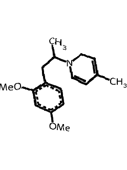 COc1ccc(CC(C)N2C=CC(C)=CC2)c(OC)c1